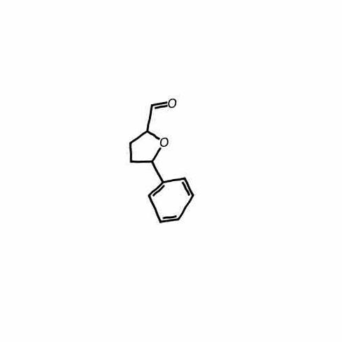 O=CC1CCC(c2ccccc2)O1